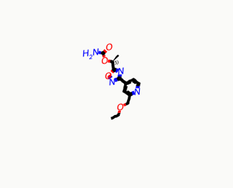 CCOCc1cc(-c2noc([C@H](C)OC(N)=O)n2)ccn1